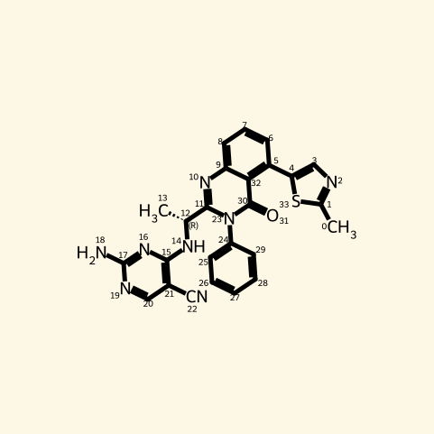 Cc1ncc(-c2cccc3nc([C@@H](C)Nc4nc(N)ncc4C#N)n(-c4ccccc4)c(=O)c23)s1